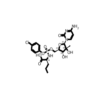 CCC[C@H](NP(=O)(OC[C@H]1O[C@@H](n2ccc(N)nc2=O)[C@](C)(O)[C@@H]1O)Oc1ccc(Cl)cc1)C(=O)O